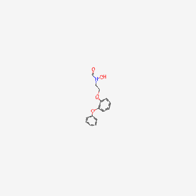 O=CN(O)CCOc1ccccc1Oc1ccccc1